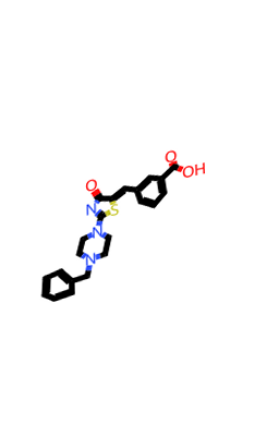 O=C1N=C(N2CCN(Cc3ccccc3)CC2)SC1=Cc1cccc(C(=O)O)c1